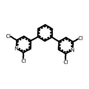 Clc1cc(-c2cccc(-c3cc(Cl)nc(Cl)c3)c2)cc(Cl)n1